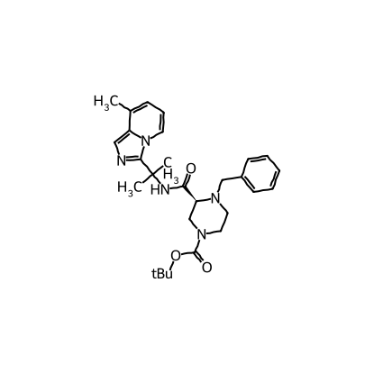 Cc1cccn2c(C(C)(C)NC(=O)[C@@H]3CN(C(=O)OC(C)(C)C)CCN3Cc3ccccc3)ncc12